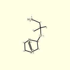 CC(C)(CN)OC1CN2C=CN1CC2